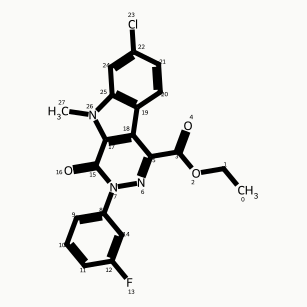 CCOC(=O)c1nn(-c2cccc(F)c2)c(=O)c2c1c1ccc(Cl)cc1n2C